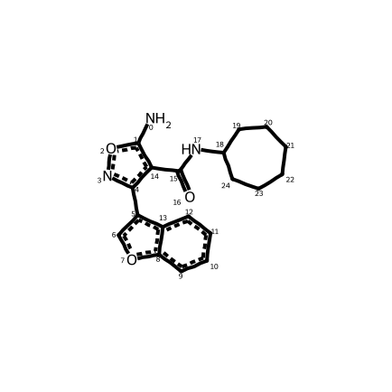 Nc1onc(-c2coc3ccccc23)c1C(=O)NC1CCCCCC1